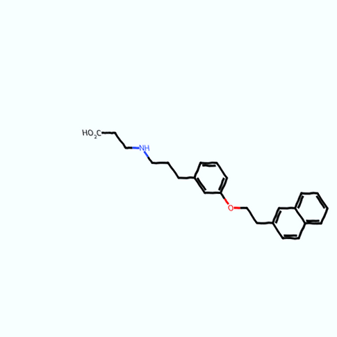 O=C(O)CCNCCCc1cccc(OCCc2ccc3ccccc3c2)c1